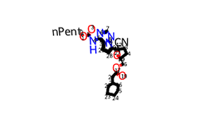 CCCCCOC(=O)Nc1ncnn2c([C@@]3(C#N)CC[C@@H](COC(=O)CC4CCCCC4)O3)ccc12